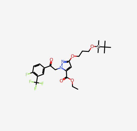 CCOC(=O)c1cc(OCCCO[Si](C)(C)C(C)(C)C)nn1CC(=O)c1ccc(F)c(C(F)(F)F)c1